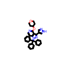 c1ccc(C(c2ccccc2)(c2ccccc2)n2nc(-c3cn[nH]c3)c3c(OC4CCOCC4)nccc32)cc1